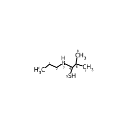 CCCBC(S)C(C)C